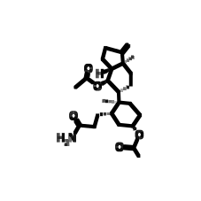 C=C1CC[C@H]2[C@H](OC(C)=O)[C@@H]([C@@]3(C)CC[C@H](OC(C)=O)C[C@@H]3CCC(N)=O)CC[C@]12C